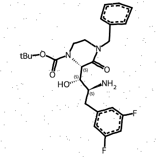 CC(C)(C)OC(=O)N1CCN(Cc2ccccc2)C(=O)[C@@H]1[C@@H](O)[C@@H](N)Cc1cc(F)cc(F)c1